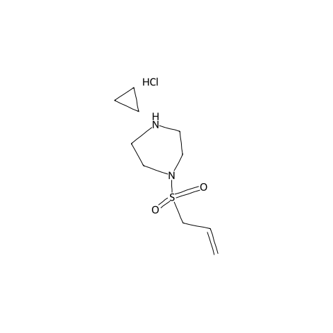 C1CC1.C=CCS(=O)(=O)N1CCNCC1.Cl